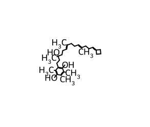 C/C(=C\CC/C(C)=C/CCC(C)(O)CCc1c(C)c(O)c(C)c(C)c1O)CCC=C1CCC1